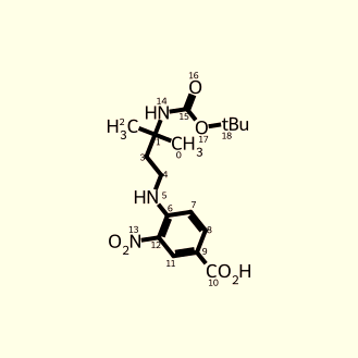 CC(C)(CCNc1ccc(C(=O)O)cc1[N+](=O)[O-])NC(=O)OC(C)(C)C